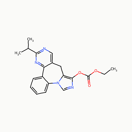 CCOC(=O)Oc1ncn2c1Cc1cnc(C(C)C)nc1-c1ccccc1-2